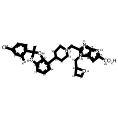 CC1(c2ccc(Cl)cc2F)Oc2cccc(C3CCN(Cc4nc5sc(C(=O)O)cc5n4CC4CCO4)CC3)c2O1